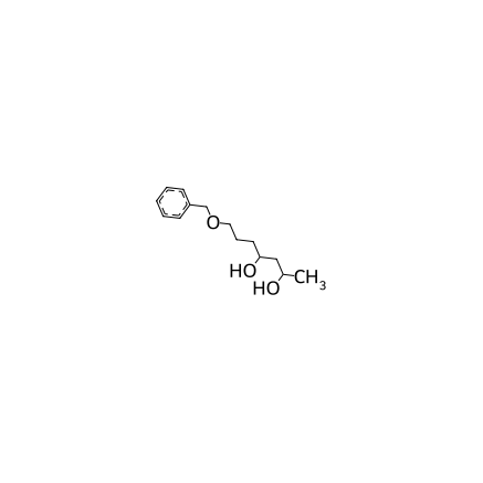 CC(O)CC(O)CCCOCc1ccccc1